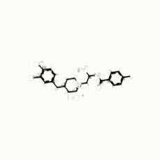 Cc1ccc(C(=O)NC(CN2CCC(Cc3ccc(Cl)c(Cl)c3)CC2)C(C)C)cc1.Cl